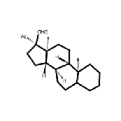 CC(=O)[C@@]1(C=O)CC[C@H]2[C@@H]3CCC4CCCC[C@]4(C)[C@H]3CC[C@@]21C